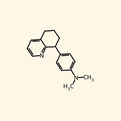 CN(C)c1ccc(C2CCCc3cccnc32)cc1